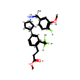 COC(=O)CCc1ccc([C@H]2CC[C@H](N[C@H](C)c3ccc(F)c(OC)c3)C2)cc1C(F)(F)F